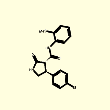 CCc1ccc([C@H]2CNC(=S)[C@@H]2C(=O)Nc2ccccc2SC)cc1